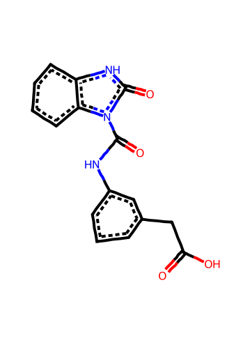 O=C(O)Cc1cccc(NC(=O)n2c(=O)[nH]c3ccccc32)c1